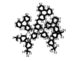 CC(C)(C)c1ccc2c(c1)c1cc(C(C)(C)C)ccc1n2-c1ccc2c(c1)N(c1ccc3c4ccccc4c4ccccc4c3c1)c1cc(Cc3ccc4c5ccccc5c5ccccc5c4c3)cc3c1B2c1ccc(-n2c4ccc(C(C)(C)C)cc4c4cc(C(C)(C)C)ccc42)cc1N3c1ccc2c3ccccc3c3ccccc3c2c1